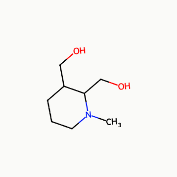 CN1CCCC(CO)C1CO